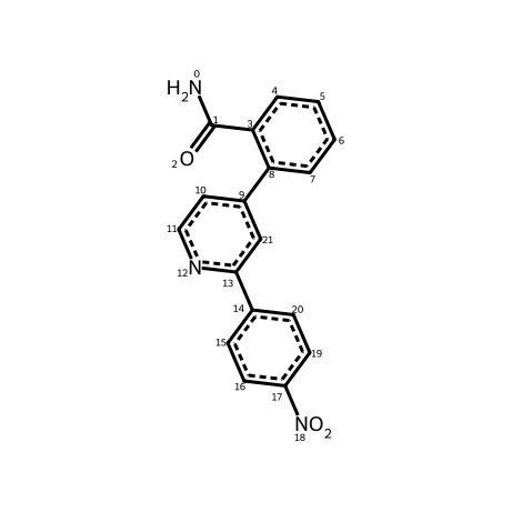 NC(=O)c1ccccc1-c1ccnc(-c2ccc([N+](=O)[O-])cc2)c1